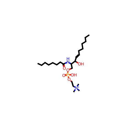 CCCCCC/C=C/C(O)C(COP(=O)(O)OCC[N+](C)(C)C)NC(=O)CCCCCCC